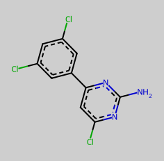 Nc1nc(Cl)cc(-c2cc(Cl)cc(Cl)c2)n1